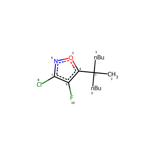 CCCCC(C)(CCCC)c1onc(Cl)c1F